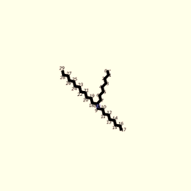 [CH2]CCCCCCC/C(=C\CCCCCCCC)CCCCCCCCCCCC